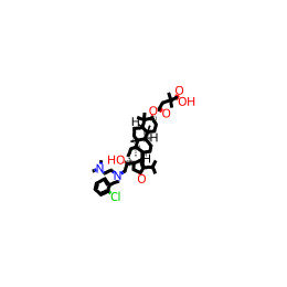 CC(C)C1=C2[C@H]3CC[C@@H]4[C@@]5(C)CC[C@H](OC(=O)CC(C)(C)C(=O)O)C(C)(C)[C@@H]5CC[C@@]4(C)[C@]3(C)CC[C@@]2([C@H](O)CN(CCN(C)C)Cc2ccccc2Cl)CC1=O